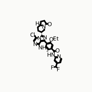 CCOc1cc(C(=O)Nc2cc(C(F)F)ccn2)ccc1-c1nc([C@@H]2CC[C@H]3CCC(=O)N3C2)n2c(Cl)cnc(N)c12